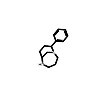 c1ccc(C2CCC3CN2CCCN3)cc1